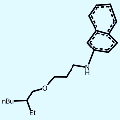 CCCCC(CC)COCCCNc1ccc2ccccc2c1